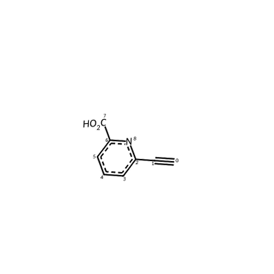 C#Cc1cccc(C(=O)O)n1